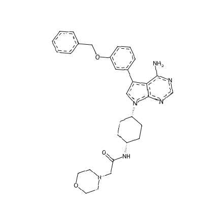 Nc1ncnc2c1c(-c1cccc(OCc3ccccc3)c1)cn2[C@H]1CC[C@@H](NC(=O)CN2CCOCC2)CC1